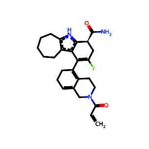 C=CC(=O)N1CCC2=C(C3=C(F)C[C@H](C(N)=O)c4[nH]c5c(c43)CCCCC5)CCC=C2C1